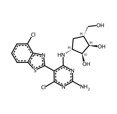 Nc1nc(Cl)c(-c2nc3c(Cl)cccc3s2)c(N[C@@H]2C[C@H](CO)[C@@H](O)[C@H]2O)n1